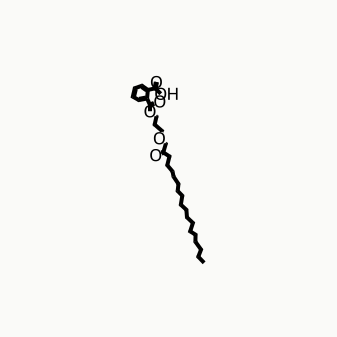 CCCCCCCCCCCCCCCCCC(=O)COCCCOC(=O)c1ccccc1C(=O)O